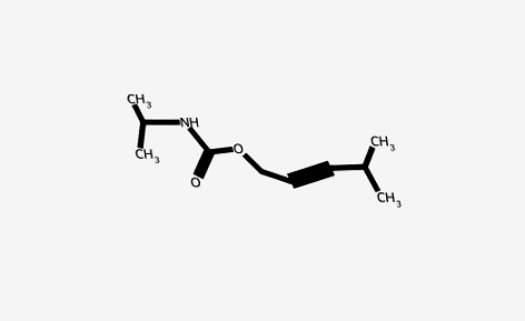 CC(C)C#CCOC(=O)NC(C)C